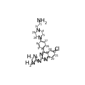 NCCN1CCN(c2ccc(-c3nc(N=C(N)N)nc4ccc(Cl)cc34)cc2)CC1